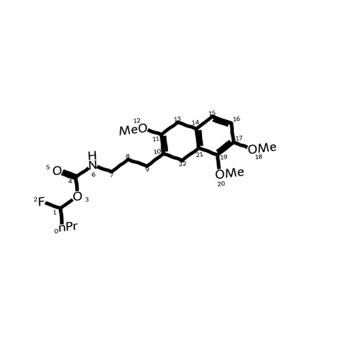 CCCC(F)OC(=O)NCCCC1=C(OC)Cc2ccc(OC)c(OC)c2C1